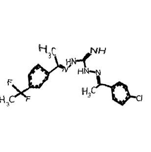 C/C(=N\NC(=N)N/N=C(\C)c1ccc(C(C)(F)F)cc1)c1ccc(Cl)cc1